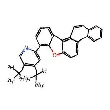 [2H]C([2H])([2H])c1cnc(-c2cccc3c2oc2ccc4c5ccccc5ccc4c23)cc1C([2H])([2H])C(C)(C)C